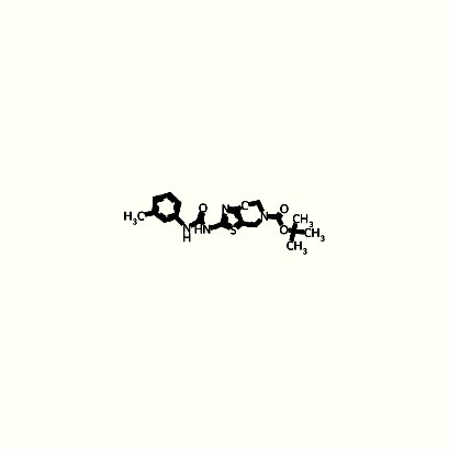 Cc1cccc(NC(=O)Nc2nc3c(s2)CN(C(=O)OC(C)(C)C)CC3)c1